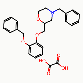 O=C(O)C(=O)O.c1ccc(COc2ccccc2OCC2CN(Cc3ccccc3)CCO2)cc1